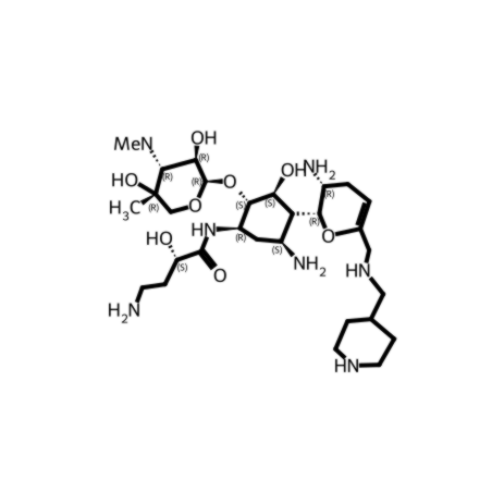 CN[C@@H]1[C@@H](O)[C@@H](O[C@H]2[C@H](NC(=O)[C@@H](O)CCN)C[C@H](N)C([C@H]3OC(CNCC4CCNCC4)=CC[C@H]3N)[C@@H]2O)OC[C@]1(C)O